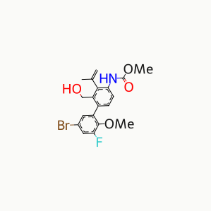 C=C(C)c1c(NC(=O)OC)ccc(-c2cc(Br)cc(F)c2OC)c1CO